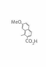 COc1ccc2ccc(C(=O)O)c(C)c2c1